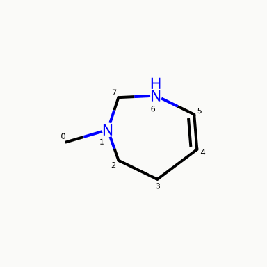 CN1CCC=CNC1